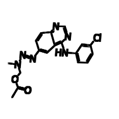 CC(=O)OCN(C)N=Nc1ccc2ncnc(Nc3cccc(Cl)c3)c2c1